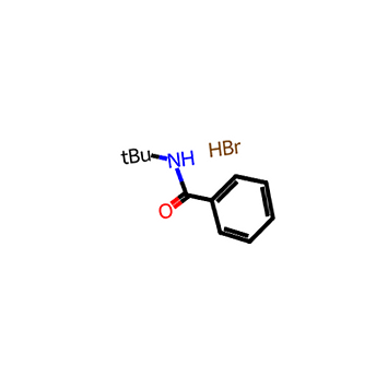 Br.CC(C)(C)NC(=O)c1ccccc1